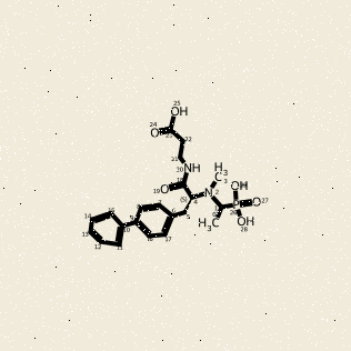 CC(N(C)[C@@H](Cc1ccc(-c2ccccc2)cc1)C(=O)NCCC(=O)O)P(=O)(O)O